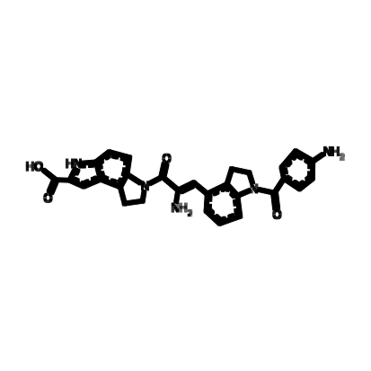 N/C(=C\c1cccc2c1CCN2C(=O)c1ccc(N)cc1)C(=O)N1CCc2c1ccc1[nH]c(C(=O)O)cc21